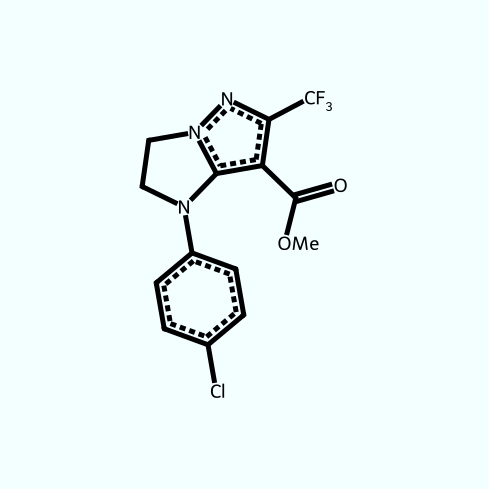 COC(=O)c1c(C(F)(F)F)nn2c1N(c1ccc(Cl)cc1)CC2